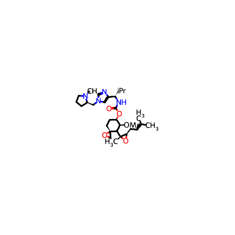 CO[C@H]1C([C@@]2(C)O[C@@H]2CC=C(C)C)[C@]2(CC[C@H]1OC(=O)N[C@H](c1cn(C[C@H]3CCCN3C)cn1)C(C)C)CO2